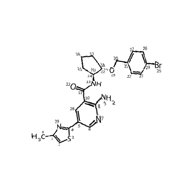 Cc1csc(-c2cnc(N)c(C(=O)N[C@H]3CCC[C@@H]3OCc3ccc(Br)cc3)c2)n1